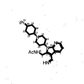 CC(=O)NCc1c(C=N)c2cccnc2n1C1CCN(C2CCC(C(C)C)CC2)CC1